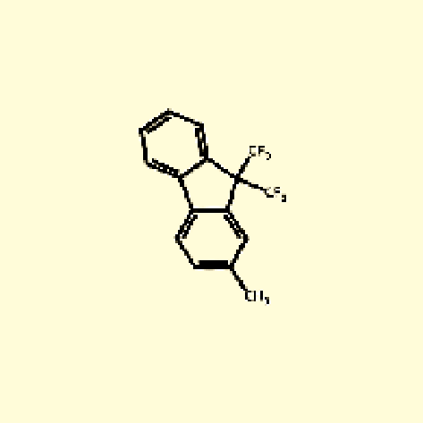 Cc1ccc2c(c1)C(C(F)(F)F)(C(F)(F)F)c1ccccc1-2